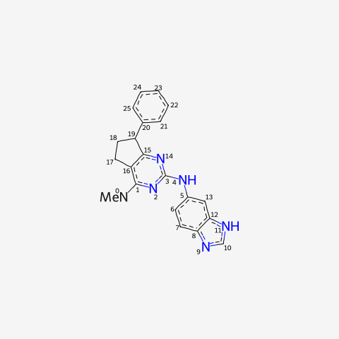 CNc1nc(Nc2ccc3nc[nH]c3c2)nc2c1CCC2c1ccccc1